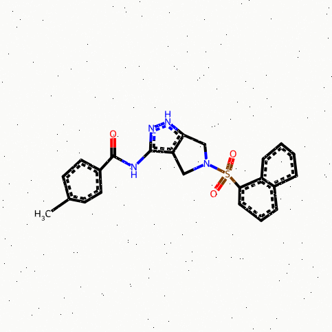 Cc1ccc(C(=O)Nc2n[nH]c3c2CN(S(=O)(=O)c2cccc4ccccc24)C3)cc1